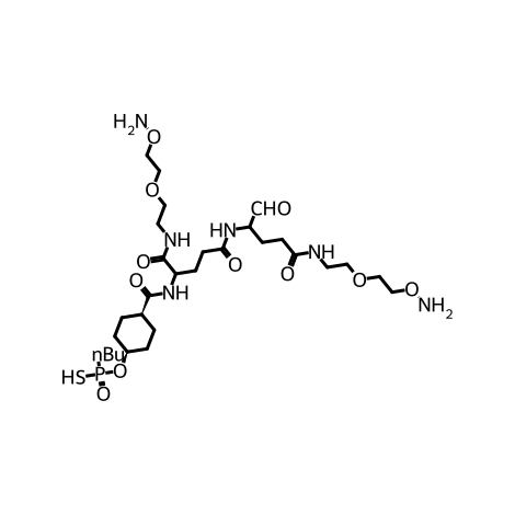 CCCCP(=O)(S)O[C@H]1CC[C@@H](C(=O)NC(CCC(=O)NC(C=O)CCC(=O)NCCOCCON)C(=O)NCCOCCON)CC1